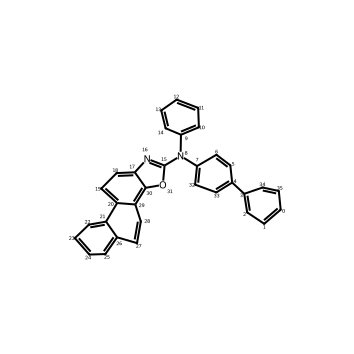 c1ccc(-c2ccc(N(c3ccccc3)c3nc4ccc5c6ccccc6ccc5c4o3)cc2)cc1